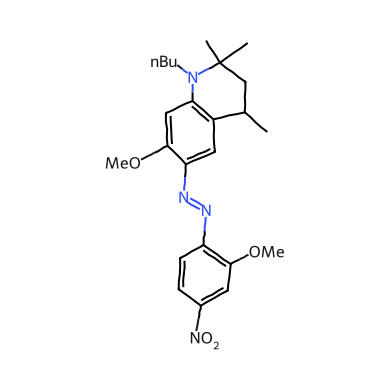 CCCCN1c2cc(OC)c(/N=N/c3ccc([N+](=O)[O-])cc3OC)cc2C(C)CC1(C)C